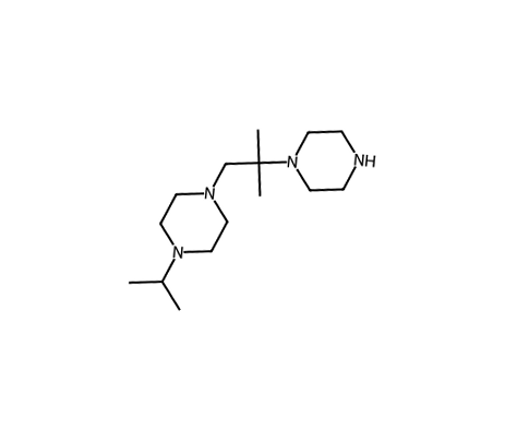 CC(C)N1CCN(CC(C)(C)N2CCNCC2)CC1